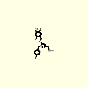 CNCc1cc(OCc2cc(F)c(P)cc2F)n(Cc2ccc(C)cc2)n1